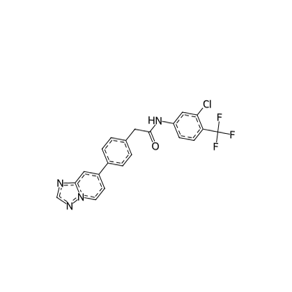 O=C(Cc1ccc(-c2ccn3ncnc3c2)cc1)Nc1ccc(C(F)(F)F)c(Cl)c1